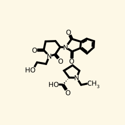 CCN1CCC[C@H]1C(=O)O.O=C1CCC(N2C(=O)c3ccccc3C2=O)C(=O)N1CCO